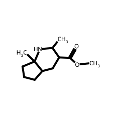 COC(=O)C1CC2CCCC2(C)NC1C